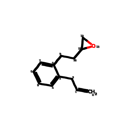 C=CCc1ccccc1CCC1CO1